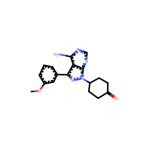 COc1[c]ccc(-c2nn(C3CCC(=O)CC3)c3ncnc(N)c23)c1